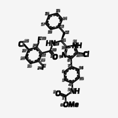 COC(=O)Nc1ccc(-c2nc([C@H](Cc3ccccc3)NC(=O)c3c(F)ccc(Cl)c3F)[nH]c2Cl)cc1